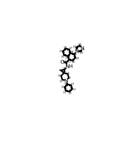 O=C(NC1CC12CCN(c1ccccc1)CC2)c1ccc(-n2ccnc2)c2ccccc12